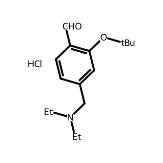 CCN(CC)Cc1ccc(C=O)c(OC(C)(C)C)c1.Cl